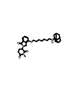 CN1C(=O)CCC(N2Cc3c(SCCCCCCCNC45CC6CC(CC(C6)C4)C5)cccc3C2=O)C1=O